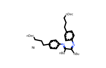 CCCCCCCCCCCCCc1ccc(N=C(CCCC)C(CCCC)=Nc2ccc(CCCCCCCCCCCCC)cc2)cc1.[Ni]